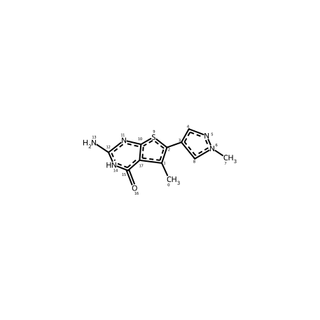 Cc1c(-c2cnn(C)c2)sc2nc(N)[nH]c(=O)c12